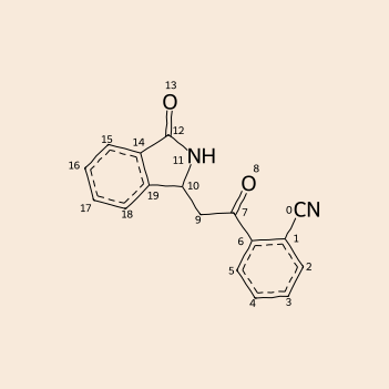 N#Cc1ccccc1C(=O)CC1NC(=O)c2ccccc21